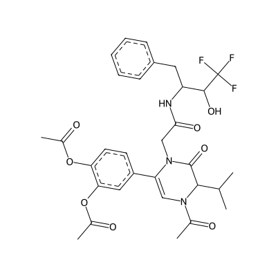 CC(=O)Oc1ccc(C2=CN(C(C)=O)C(C(C)C)C(=O)N2CC(=O)NC(Cc2ccccc2)C(O)C(F)(F)F)cc1OC(C)=O